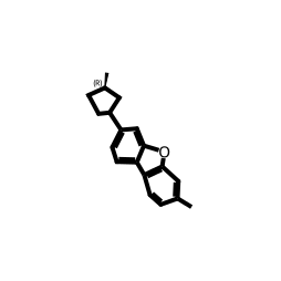 Cc1ccc2c(c1)oc1cc(C3CC[C@@H](C)C3)ccc12